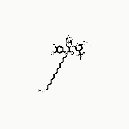 CCCCCCCCCCCCCCN(C(=O)C1Cn2cnnc2N1c1cc(C(F)(F)F)cc(C)n1)c1ccc(F)c(Cl)c1